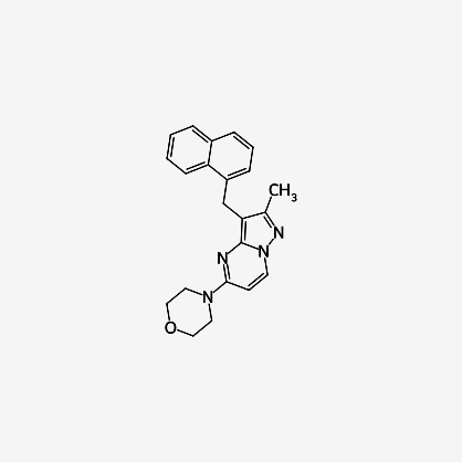 Cc1nn2ccc(N3CCOCC3)nc2c1Cc1cccc2ccccc12